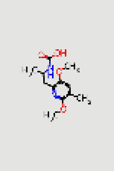 COc1cc(C)c(OC)nc1CC(C)NC(=O)O